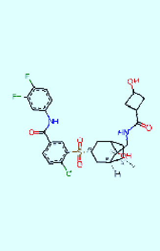 C[C@H]1CC2C[C@@H](S(=O)(=O)c3cc(C(=O)Nc4ccc(F)c(F)c4)ccc3Cl)C[C@H]1[C@@]2(O)CNC(=O)C1CC(O)C1